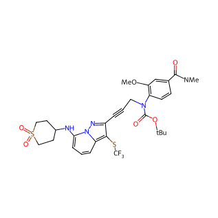 CNC(=O)c1ccc(N(CC#Cc2nn3c(NC4CCS(=O)(=O)CC4)cccc3c2SC(F)(F)F)C(=O)OC(C)(C)C)c(OC)c1